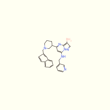 Bc1cnn2c(NCc3cccnc3)cc(C3CCCN(Cc4ccc5ccccc5c4)C3)nc12